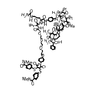 CCC(C)[C@@H]([C@@H](CC(=O)N1CCC[C@H]1[C@H](OC)[C@@H](C)C(=O)N[C@H](C)[C@@H](O)c1ccccc1)OC)N(C)C(=O)[C@@H](NC(=O)[C@H](C(C)C)N(C)C(=O)OCc1ccc(NC(=O)[C@H](CCCNC(N)=O)NC(=O)[C@@H](NC(=O)COCCOCCOCCOc2ccc(N3C(=O)C(Sc4ccc(C(=O)NC)cc4)=C(Sc4ccc(C(=O)NC)cc4)C3=O)cc2)C(C)C)cc1)C(C)C